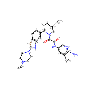 Cc1cc(NC(=O)C(=O)N2C[C@@H](C)CC[C@@H]2c2ccc3sc(N4CCN(C)CC4)nc3c2)cnc1N